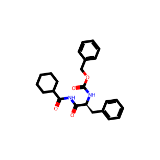 O=C(N[C@@H](Cc1ccccc1)C(=O)NC(=O)C1CCCCC1)OCc1ccccc1